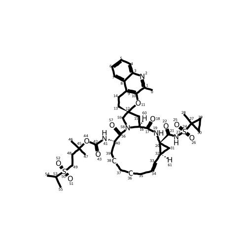 Cc1nc2ccccc2c2c1O[C@]1(CC2)C[C@H]2C(=O)N[C@]3(C(=O)NS(=O)(=O)C4(C)CC4)C[C@H]3/C=C\CCCCC[C@H](NC(=O)OC(C)(C)CCS(=O)(=O)C(C)C)C(=O)N2C1